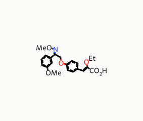 CCO/C(=C\c1ccc(OC/C(=N/OC)c2cccc(OC)c2)cc1)C(=O)O